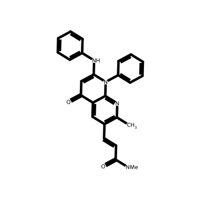 CNC(=O)/C=C/c1cc2c(=O)cc(Nc3ccccc3)n(-c3ccccc3)c2nc1C